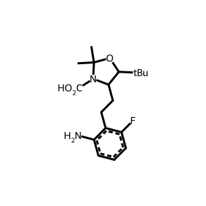 CC(C)(C)C1OC(C)(C)N(C(=O)O)C1CCc1c(N)cccc1F